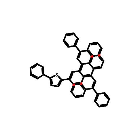 C(=C(c1ccccc1)c1ccccc1)c1c2ccccc2c(C=C(c2ccccc2)c2ccccc2)c2cc(-c3ccc(-c4ccccc4)s3)ccc12